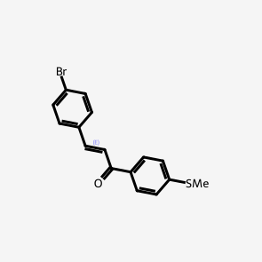 CSc1ccc(C(=O)/C=C/c2ccc(Br)cc2)cc1